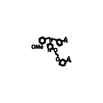 COc1cccc(CN(Cc2cccc(N(C)C)c2)c2ccnc(OCCOc3cccc(N(C)C)c3)c2)c1